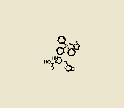 O=C(O)[C@@H]1C[C@H](Cc2cccs2)CN1.[Cl-].c1ccc([P+](Cc2cccs2)(c2ccccc2)c2ccccc2)cc1